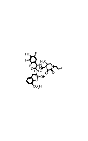 CC1CN(CCF)C(=O)C(=O)N1C(=O)NC(C(=O)N[C@H]1Cc2cccc(C(=O)O)c2OB1O)c1cc(F)c(O)c(F)c1F